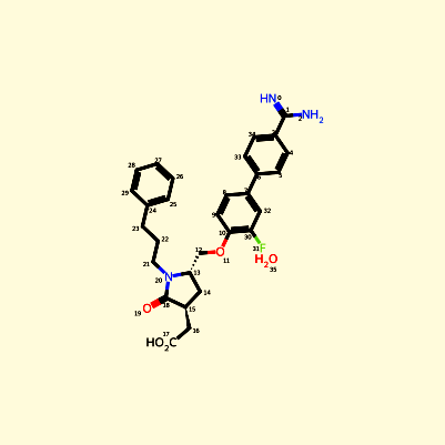 N=C(N)c1ccc(-c2ccc(OC[C@@H]3C[C@@H](CC(=O)O)C(=O)N3CCCc3ccccc3)c(F)c2)cc1.O